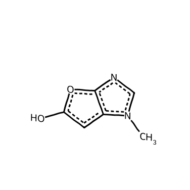 Cn1cnc2oc(O)cc21